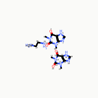 Cn1c(=O)c2[nH]cnc2n(C)c1=O.Cn1c(=O)c2[nH]cnc2n(C)c1=O.NCCN.[Zn]